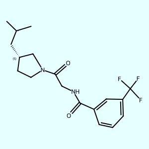 C[C](C)C[C@H]1CCN(C(=O)CNC(=O)c2cccc(C(F)(F)F)c2)C1